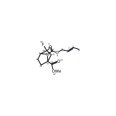 C/C=C/COC(=O)N1C2CCC1(C(=O)OC)CC2(F)F